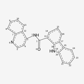 O=C(Nc1ccnc2ccccc12)c1cccc2c1[nH]c1ccccc12